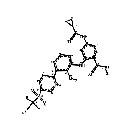 CNC(=O)c1cnc(NC(=O)C2CC2)cc1Nc1cccc(-c2ncc(S(=O)(=O)C(C)(C)F)cn2)c1OC